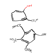 COc1cc(OC)c(C(=O)O)c(OC)c1.O=C(O)c1ccccc1O